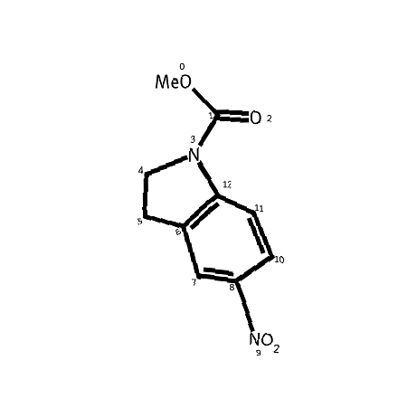 COC(=O)N1CCc2cc([N+](=O)[O-])ccc21